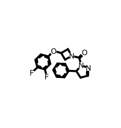 O=C(N1CC(Oc2ccc(F)c(F)c2)C1)N1N=CCC1c1ccccc1